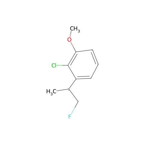 COc1cccc([C](C)CF)c1Cl